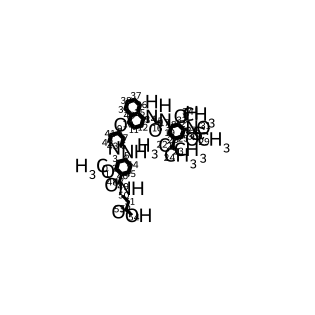 COc1cc(Nc2cc(Oc3ccc(NC(=O)Nc4cc(C(C)(C)C)cc(NS(C)(=O)=O)c4OC)c4ccccc34)ccn2)ccc1C(=O)NCCC(=O)O